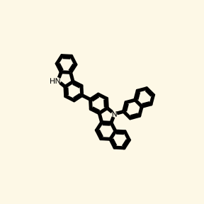 c1ccc2cc(-n3c4ccc(-c5ccc6[nH]c7ccccc7c6c5)cc4c4ccc5ccccc5c43)ccc2c1